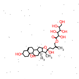 C=C(CCC1(O)OC2CC3C4CC=C5CC(O)CCC5(O)C4CCC3(C)C2C1C)COC(=O)C(O)C(O)C(O)C(O)CO